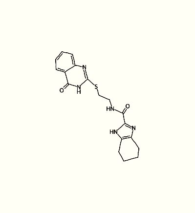 O=C(NCCSc1nc2ccccc2c(=O)[nH]1)c1nc2c([nH]1)CCCC2